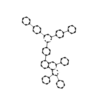 c1ccc(-c2ccc(-c3cc(-c4ccc(-c5ccccc5)cc4)nc(-c4ccc(-c5cccc6c5cc(-c5ccccc5)n5nc(-c7ccccc7)c(-c7ccccc7)c65)cc4)n3)cc2)cc1